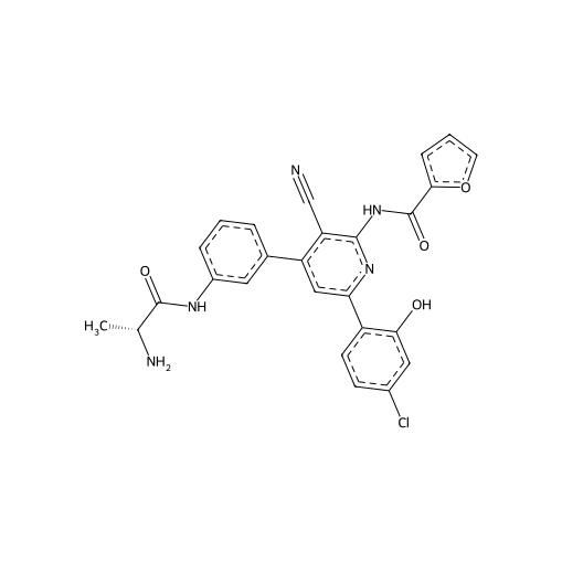 C[C@@H](N)C(=O)Nc1cccc(-c2cc(-c3ccc(Cl)cc3O)nc(NC(=O)c3ccco3)c2C#N)c1